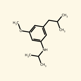 COc1cc(CC(C)C)cc(NC(C)C)c1